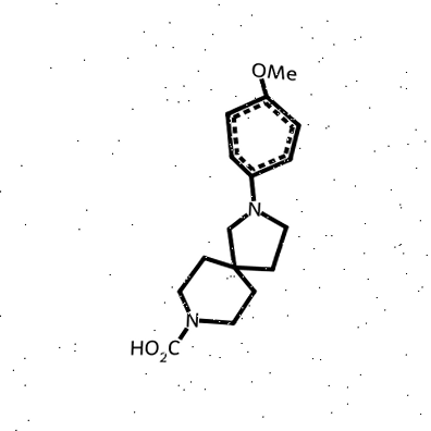 COc1ccc(N2CCC3(CCN(C(=O)O)CC3)C2)cc1